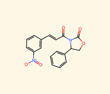 O=C(C=Cc1cccc([N+](=O)[O-])c1)N1C(=O)OCC1c1ccccc1